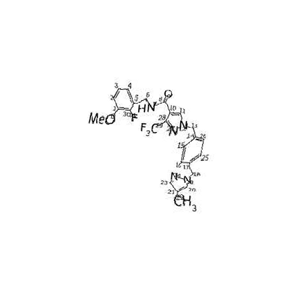 COc1cccc(CNC(=O)c2cn(Cc3ccc(Cn4cc(C)cn4)cc3)nc2C(F)(F)F)c1F